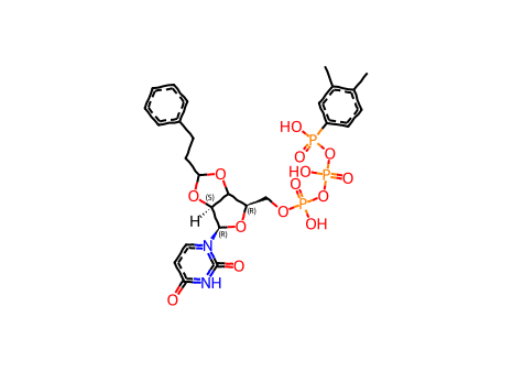 Cc1ccc(P(=O)(O)OP(=O)(O)OP(=O)(O)OC[C@H]2O[C@@H](n3ccc(=O)[nH]c3=O)[C@H]3OC(CCc4ccccc4)OC23)cc1C